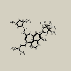 CN(C)CCN1C=C(OC[C@@H]2C[C@@H](F)CN2C)Oc2cc(B3OC(C)(C)C(C)(C)O3)c(Cl)c3c2=C1NCN=3